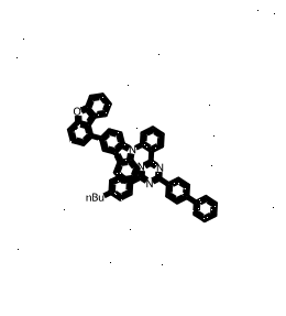 CCCCc1ccc(-c2nc(-c3ccc(-c4ccccc4)cc3)nc(-c3ccccc3-n3c4ccccc4c4cc(-c5cccc6oc7ccccc7c56)ccc43)n2)cc1